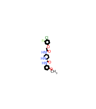 COc1cccc(NC(=O)[C@H]2CC[C@H](NC(=O)COc3ccc(Cl)c(F)c3)CN2)c1